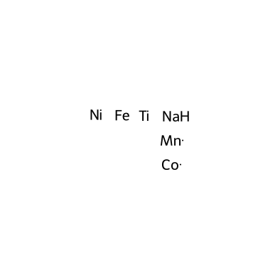 [Co].[Fe].[Mn].[NaH].[Ni].[Ti]